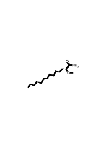 CCCCCC[CH]CCCCC[C@@H](OC)C(N)=O